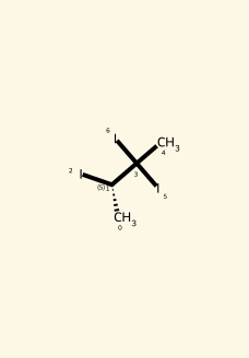 C[C@H](I)C(C)(I)I